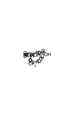 C[C@H](O)C(=O)NC1CCN(C[C@H](O)Cn2nc(-c3ccc(C(F)(F)F)c(SCCN4CCC5CCCCC5C4)c3)c3c2CCN(S(C)(=O)=O)C3)CC1